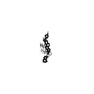 CC12Cc3cnn(-c4ccc(F)cc4)c3C=C1CCC1C2[C@@H](O)CC2(C)C1CCC2(O)C(=O)COc1ccc2ccccc2c1